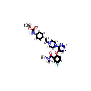 CC(C)N(C(=O)c1cc(F)ccc1Oc1cncnc1N1CCN(CC[C@H]2CC[C@H](NC(=O)OC(C)(C)C)CC2)CC1)C(C)C